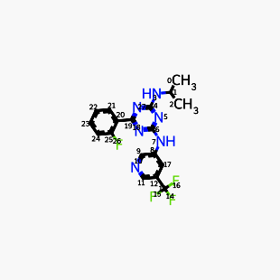 CC(C)Nc1nc(Nc2cncc(C(F)(F)F)c2)nc(-c2ccccc2F)n1